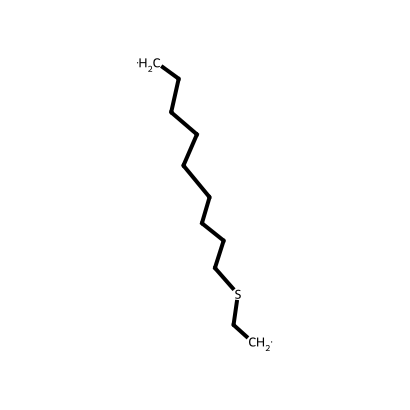 [CH2]CCCCCCCCSC[CH2]